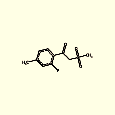 Cc1ccc(C(=O)CS(C)(=O)=O)c(F)c1